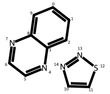 c1ccc2nccnc2c1.c1csnn1